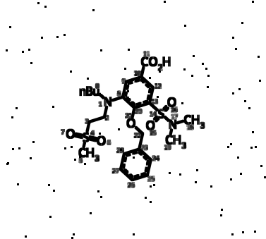 CCCCN(CCS(C)(=O)=O)c1cc(C(=O)O)cc(S(=O)(=O)N(C)C)c1OCc1ccccc1